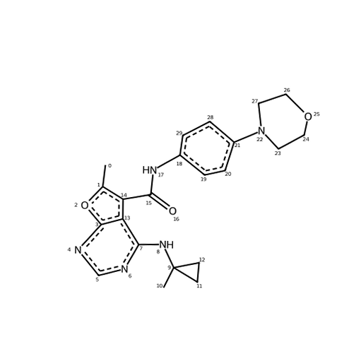 Cc1oc2ncnc(NC3(C)CC3)c2c1C(=O)Nc1ccc(N2CCOCC2)cc1